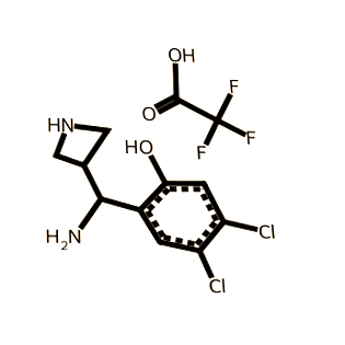 NC(c1cc(Cl)c(Cl)cc1O)C1CNC1.O=C(O)C(F)(F)F